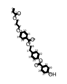 C=CC(=O)OCCCOc1ccc(C(=O)OCCc2ccc(OC(=O)c3ccc(O)cc3)cc2)cc1